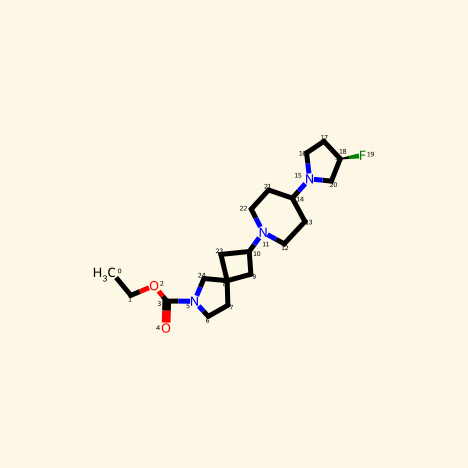 CCOC(=O)N1CCC2(CC(N3CCC(N4CC[C@@H](F)C4)CC3)C2)C1